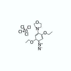 CCOC1=CC(=[N+]=[N-])C(OCC)C=C1N1CCOCC1.[Cl][Zn]([Cl])([Cl])[Cl]